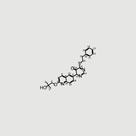 CC(C)(O)COc1ccc2cc(C3N=CN=C(SCCc4ccccc4)C3=O)ccc2n1